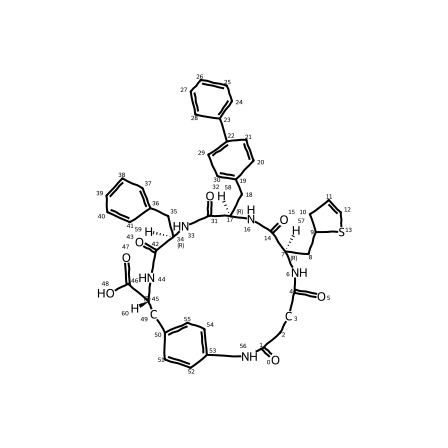 O=C1CCC(=O)N[C@H](CC2CC=CS2)C(=O)N[C@H](Cc2ccc(-c3ccccc3)cc2)C(=O)N[C@H](Cc2ccccc2)C(=O)N[C@@H](C(=O)O)Cc2ccc(cc2)N1